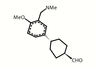 CNCc1cc([C@H]2CC[C@H](C=O)CC2)ccc1OC